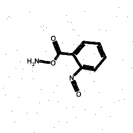 NOC(=O)c1ccccc1N=O